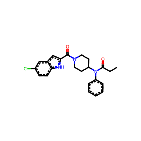 CCC(=O)N(c1ccccc1)C1CCN(C(=O)c2cc3cc(Cl)ccc3[nH]2)CC1